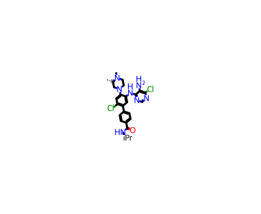 CC(C)NC(=O)c1ccc(-c2cc(Nc3ncnc(Cl)c3N)c(N3CCN(C)[C@@H](C)C3)cc2Cl)cc1